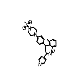 Cc1cccc2c1C(c1ccc(N3CCN(S(C)(=O)=O)CC3)cc1)CC(c1ccncc1)=NO2